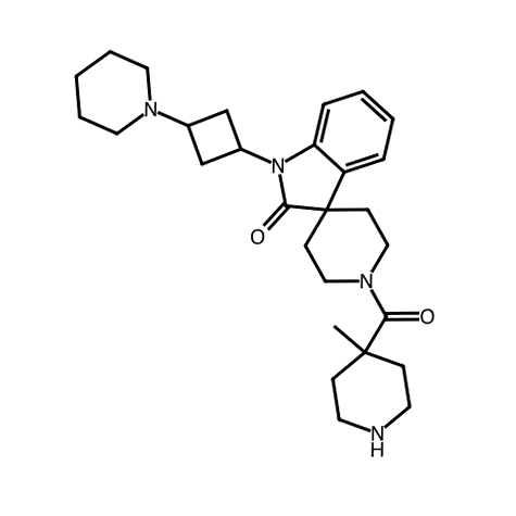 CC1(C(=O)N2CCC3(CC2)C(=O)N(C2CC(N4CCCCC4)C2)c2ccccc23)CCNCC1